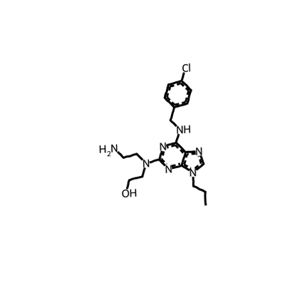 CCCn1cnc2c(NCc3ccc(Cl)cc3)nc(N(CCN)CCO)nc21